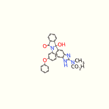 CN(C(=O)O)c1nc2cc(C3(O)c4ccccc4C(=O)N3c3cccc(Oc4ccccc4)c3)ccc2[nH]1